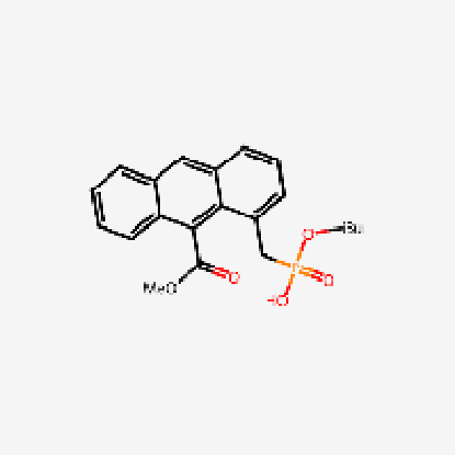 CCC(C)OP(=O)(O)Cc1cccc2cc3ccccc3c(C(=O)OC)c12